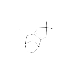 CCC12COC(O1)[C@H](N)[C@H]1OC(C)(C)O[C@H]12